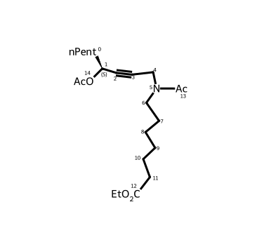 CCCCC[C@@H](C#CCN(CCCCCCC(=O)OCC)C(C)=O)OC(C)=O